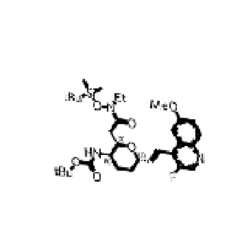 CCN(O[Si](C)(C)C(C)(C)C)C(=O)C[C@H]1O[C@H](C=Cc2c(F)cnc3ccc(OC)cc23)CC[C@H]1NC(=O)OC(C)(C)C